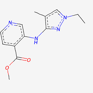 CCn1cc(C)c(Nc2cnccc2C(=O)OC)n1